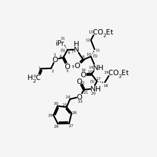 C=CCOC(=O)[C@@H](NC(=O)[C@H](CCC(=O)OCC)NC(=O)[C@H](CC(=O)OCC)NC(=O)OCc1ccccc1)C(C)C